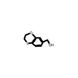 OCc1ccc2c(c1)OCCS2